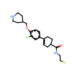 O=C(NCCF)C1CC=C(c2ccc(OCC3CCNCC3)c(F)c2)CC1